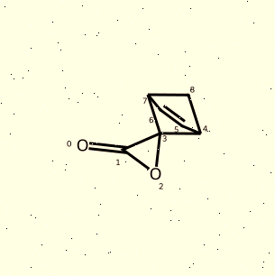 O=C1OC12C1C=CC2C1